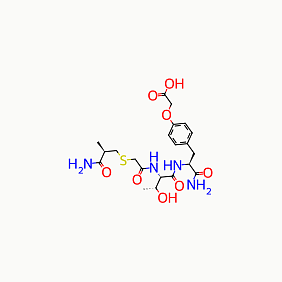 C[C@@H](CSCC(=O)N[C@H](C(=O)N[C@@H](Cc1ccc(OCC(=O)O)cc1)C(N)=O)[C@@H](C)O)C(N)=O